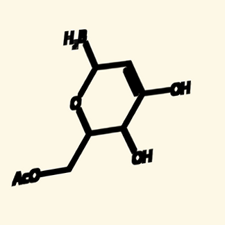 BC1C=C(O)C(O)C(COC(C)=O)O1